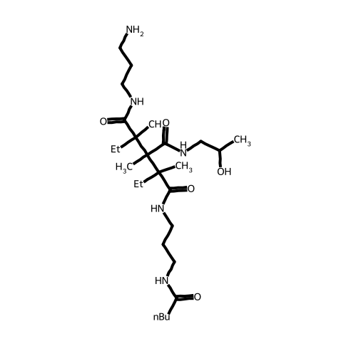 CCCCC(=O)NCCCNC(=O)C(C)(CC)C(C)(C(=O)NCC(C)O)C(C)(CC)C(=O)NCCCN